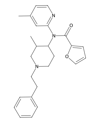 Cc1ccnc(N(C(=O)c2ccco2)C2CCN(CCc3ccccc3)CC2C)c1